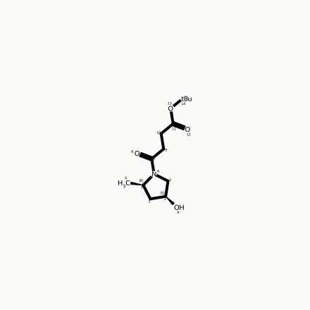 C[C@@H]1C[C@H](O)CN1C(=O)CCC(=O)OC(C)(C)C